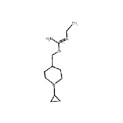 CC/N=C(\N)OCC1CCN(C2CC2)CC1